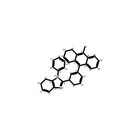 Cc1c2c(c(C3=CC(c4nc5c(n4-c4ccccc4)CCC=C5)CC=C3)c3ccccc13)C=CCC2